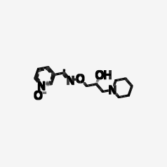 [O-][n+]1cccc([C]=NOC[C@H](O)CN2CCCCC2)c1